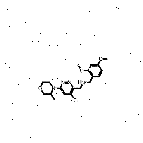 COc1ccc(CNCc2nnc(N3CCOCC3C)cc2Cl)c(OC)c1